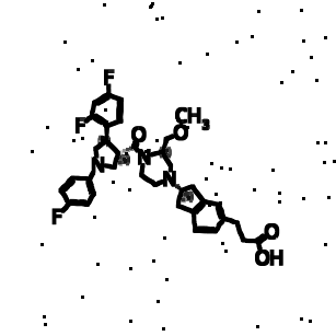 COC[C@H]1CN([C@H]2Cc3ccc(CCC(=O)O)cc3C2)CCN1C(=O)[C@@H]1CN(c2ccc(F)cc2)C[C@H]1c1ccc(F)cc1F